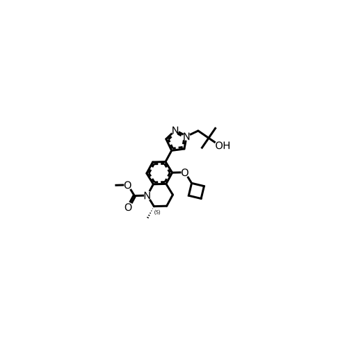 COC(=O)N1c2ccc(-c3cnn(CC(C)(C)O)c3)c(OC3CCC3)c2CC[C@@H]1C